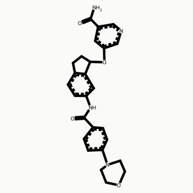 NC(=O)c1cncc(OC2CCc3ccc(NC(=O)c4ccc(N5CCOCC5)cc4)cc32)c1